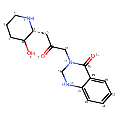 O=C(C[C@H]1NCCCC1O)CN1CNc2ccccc2C1=O